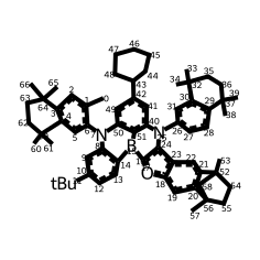 Cc1cc2c(cc1N1c3cc(C(C)(C)C)ccc3B3c4oc5cc6c(cc5c4N(c4ccc5c(c4)C(C)(C)CCC5(C)C)c4cc(C5CCCCC5)cc1c43)C1(C)CCC6(C)C1)C(C)(C)CCC2(C)C